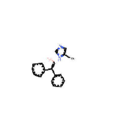 BC=C(c1ccccc1)c1ccccc1.CC(C)(C)c1cnc[nH]1